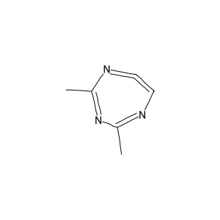 CC1=NC=C=NC(C)=N1